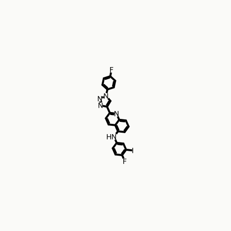 Fc1ccc(-n2cc(-c3ccc4c(Nc5ccc(F)c(I)c5)cccc4n3)nn2)cc1